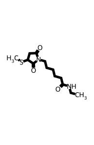 CCNC(=O)CCCCCN1C(=O)CC(SC)C1=O